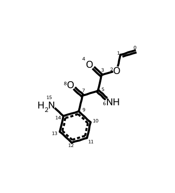 C=COC(=O)C(=N)C(=O)c1ccccc1N